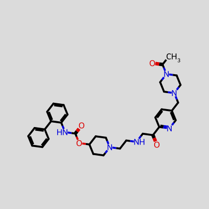 CC(=O)N1CCN(Cc2ccc(C(=O)CNCCN3CCC(OC(=O)Nc4ccccc4-c4ccccc4)CC3)nc2)CC1